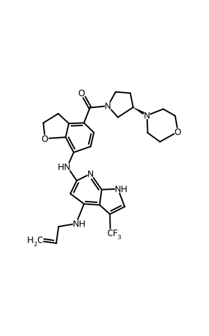 C=CCNc1cc(Nc2ccc(C(=O)N3CC[C@@H](N4CCOCC4)C3)c3c2OCC3)nc2[nH]cc(C(F)(F)F)c12